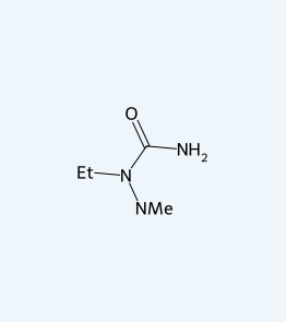 CCN(NC)C(N)=O